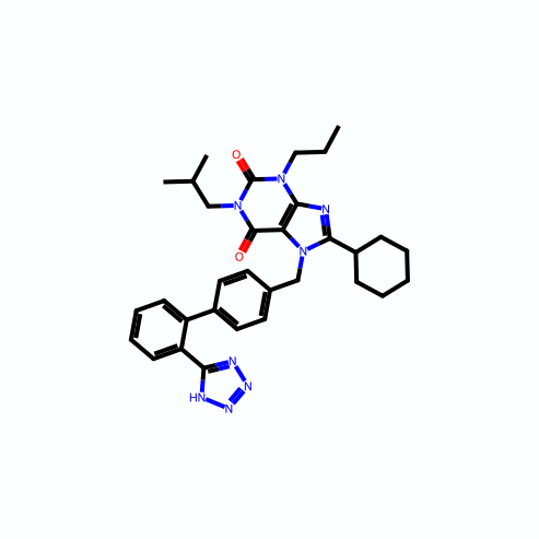 CCCn1c(=O)n(CC(C)C)c(=O)c2c1nc(C1CCCCC1)n2Cc1ccc(-c2ccccc2-c2nnn[nH]2)cc1